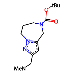 CNCc1cc2n(n1)CCCN(C(=O)OC(C)(C)C)C2